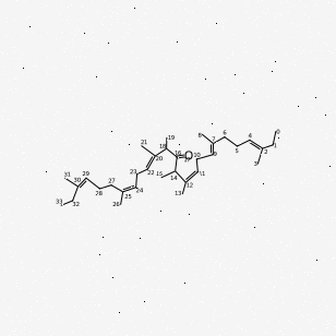 CCC(C)=CCCC(C)=CCC=C(C)C(C)C(=O)C(C)C(C)=CCC=C(C)CCC=C(C)CC